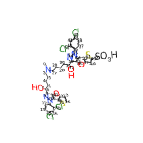 CN(CCCCC(O)c1nn(-c2ccc(Cl)cc2Cl)c2c1oc1ccsc12)CCCCC(O)c1nn(-c2ccc(Cl)cc2Cl)c2c1oc1cc(S(=O)(=O)O)sc12